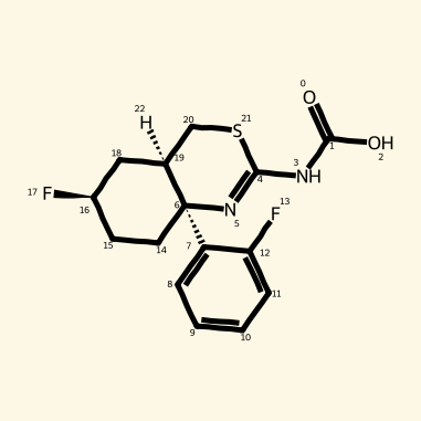 O=C(O)NC1=N[C@@]2(c3ccccc3F)CC[C@@H](F)C[C@H]2CS1